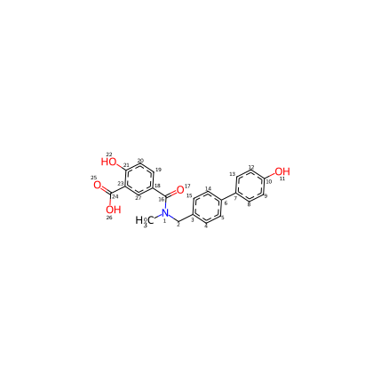 CN(Cc1ccc(-c2ccc(O)cc2)cc1)C(=O)c1ccc(O)c(C(=O)O)c1